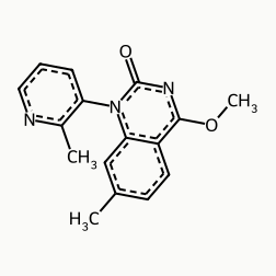 COc1nc(=O)n(-c2cccnc2C)c2cc(C)ccc12